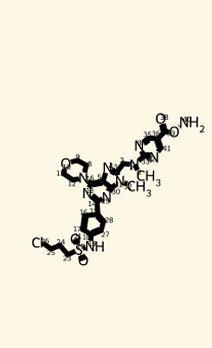 CN(Cc1nc2c(N3CCOCC3)nc(-c3ccc(NS(=O)(=O)CCCCl)cc3)nc2n1C)c1ncc(C(=O)ON)cn1